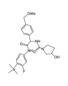 COCc1ccc(C(NC(=O)N2CCC(O)C2)C(=O)Nc2ccc([Si](C)(C)C)c(F)c2)cc1